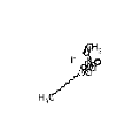 CCCCCCCCCCCCCCOc1ccc(CN(Cc2ccc[n+](C)c2)C(=O)c2ccccc2Cl)cc1Cl.[I-]